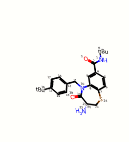 CCCCNC(=O)c1ccc2c(c1)N(Cc1ccc(C(C)(C)C)cc1)C(=O)[C@@H](N)CS2